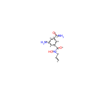 C=CCN(O)C(=O)c1cc(N)cc(C(N)=O)c1